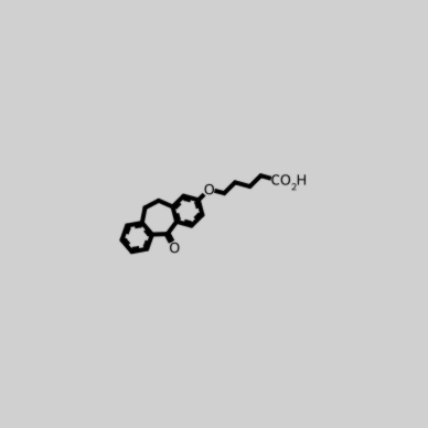 O=C(O)CCCCOc1ccc2c(c1)CCc1ccccc1C2=O